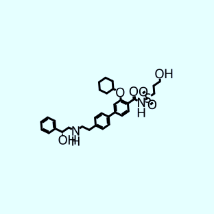 O=C(NS(=O)(=O)CCCO)c1ccc(-c2ccc(CCNC[C@H](O)c3ccccc3)cc2)cc1OC1CCCCC1